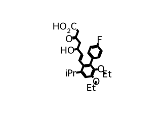 CCOc1cc(C(C)C)c(C=CC(O)CC(=O)CC(=O)O)c(-c2ccc(F)cc2)c1OCC